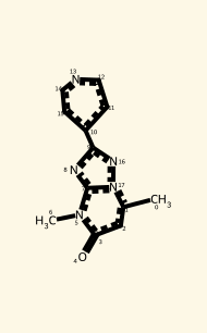 Cc1cc(=O)n(C)c2nc(-c3ccncc3)nn12